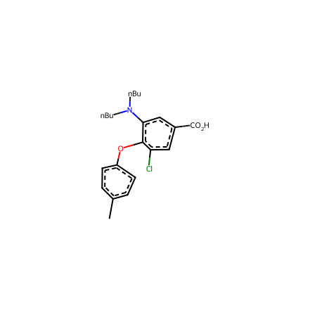 CCCCN(CCCC)c1cc(C(=O)O)cc(Cl)c1Oc1ccc(C)cc1